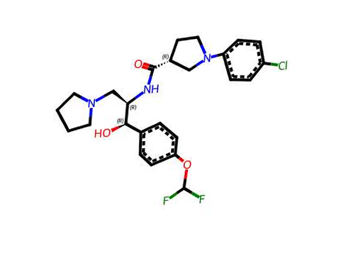 O=C(N[C@H](CN1CCCC1)[C@H](O)c1ccc(OC(F)F)cc1)[C@@H]1CCN(c2ccc(Cl)cc2)C1